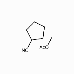 COC(C)=O.N#CC1CCCC1